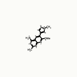 COc1nc2nc(C)nc(N)c2cc1-c1cnn(C)c1